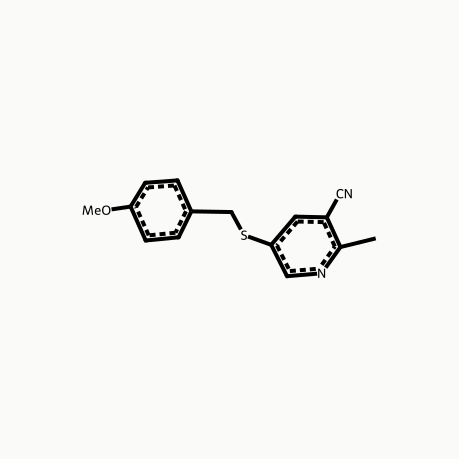 COc1ccc(CSc2cnc(C)c(C#N)c2)cc1